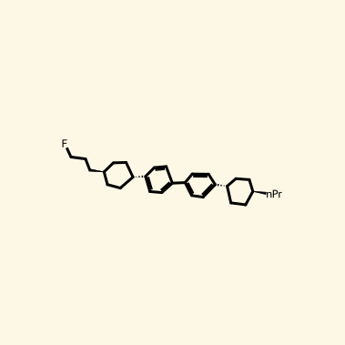 CCC[C@H]1CC[C@H](c2ccc(-c3ccc([C@H]4CC[C@H](CCCF)CC4)cc3)cc2)CC1